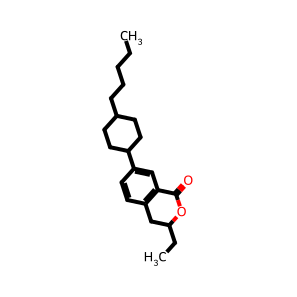 CCCCCC1CCC(c2ccc3c(c2)C(=O)OC(CC)C3)CC1